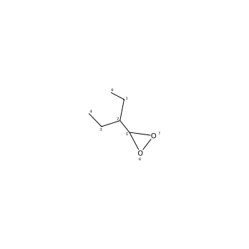 CCC(CC)[C]1OO1